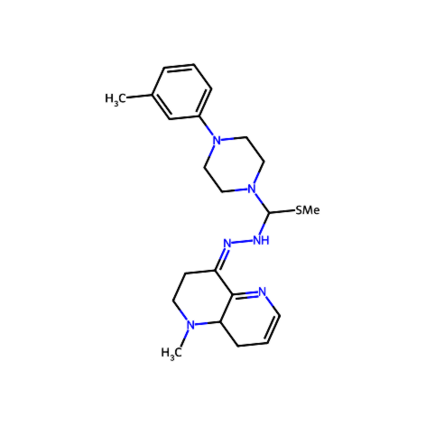 CSC(N/N=C1/CCN(C)C2CC=CN=C12)N1CCN(c2cccc(C)c2)CC1